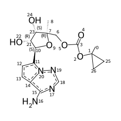 CC1(OC(=O)OC[C@@]2(C)O[C@@H](c3ccc4c(N)ncnn34)[C@H](O)[C@@H]2O)CC1